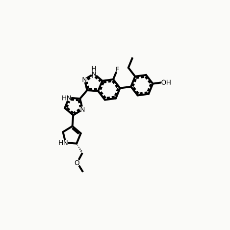 CCc1cc(O)ccc1-c1ccc2c(-c3nc(C4=C[C@H](COC)NC4)c[nH]3)n[nH]c2c1F